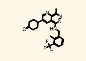 Cc1c(CNc2nnc(C)c3ncc(C4CCC(=O)CC4)cc23)cccc1C(F)(F)F